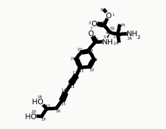 COC(=O)[C@@H](NC(=O)c1ccc(C#CC#CCC(O)CO)cc1)C(C)(C)N